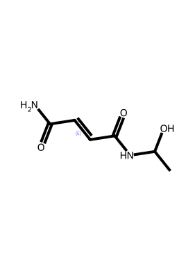 CC(O)NC(=O)/C=C/C(N)=O